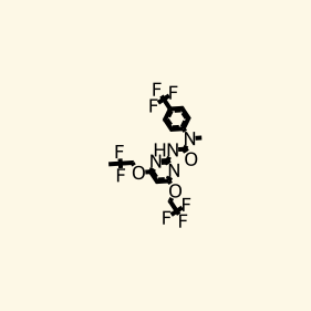 CN(C(=O)Nc1nc(OCC(C)(F)F)cc(OCC(F)(F)F)n1)c1ccc(C(F)(F)F)cc1